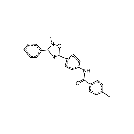 Cc1ccc(C(=O)Nc2ccc(C3=NC(c4ccccc4)N(C)O3)cc2)cc1